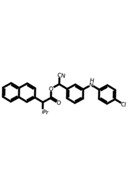 CC(C)C(C(=O)OC(C#N)c1cccc(Nc2ccc(Cl)cc2)c1)c1ccc2ccccc2c1